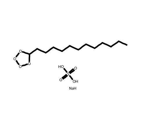 CCCCCCCCCCCCC1OOOO1.O=S(=O)(O)O.[NaH]